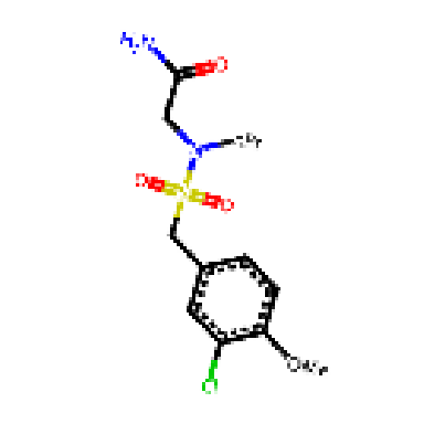 CCCN(CC(N)=O)S(=O)(=O)Cc1ccc(OC)c(Cl)c1